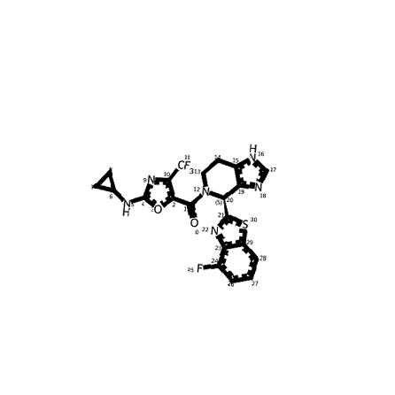 O=C(c1oc(NC2CC2)nc1C(F)(F)F)N1CCc2[nH]cnc2[C@H]1c1nc2c(F)cccc2s1